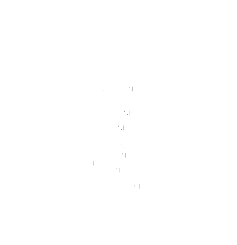 Cc1cc(CNC(=O)Nc2cnc(OCC3CC3)c(Cl)c2)nnc1N1CCOC(C)C1